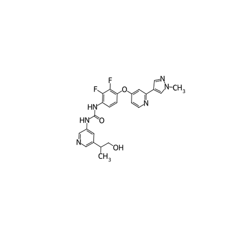 CC(CO)c1cncc(NC(=O)Nc2ccc(Oc3ccnc(-c4cnn(C)c4)c3)c(F)c2F)c1